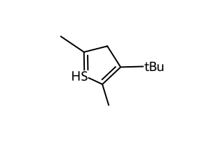 CC1=[SH]C(C)=C(C(C)(C)C)C1